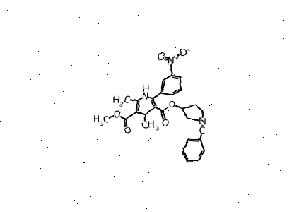 COC(=O)C1=C(C)NC(c2cccc([N+](=O)[O-])c2)=C(C(=O)O[C@H]2CCN(Cc3ccccc3)C2)C1C